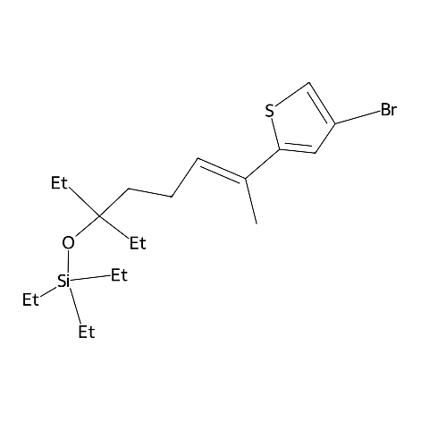 CCC(CC)(CC/C=C(\C)c1cc(Br)cs1)O[Si](CC)(CC)CC